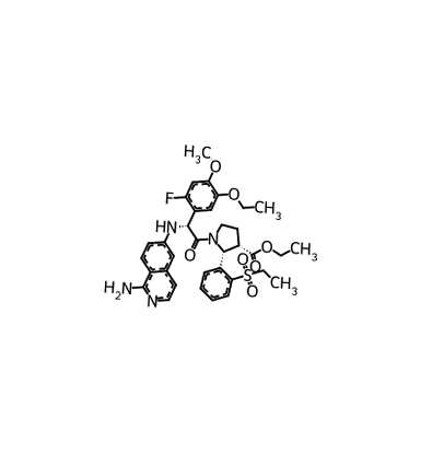 CCOC(=O)[C@H]1CCN(C(=O)[C@H](Nc2ccc3c(N)nccc3c2)c2cc(OCC)c(OC)cc2F)[C@H]1c1ccccc1S(=O)(=O)CC